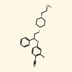 CCC[C@H]1CC[C@H](CCC(Oc2ccc(C#N)c(F)c2)c2ccccc2)CC1